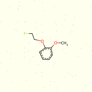 COc1ccccc1OCCF